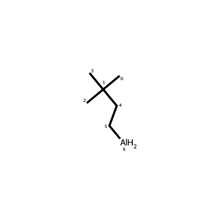 CC(C)(C)C[CH2][AlH2]